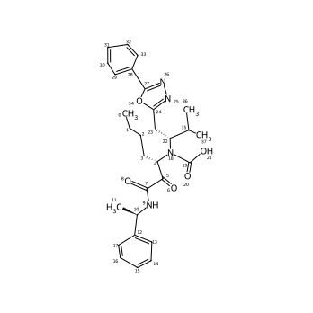 CCCC[C@@H](C(=O)C(=O)N[C@H](C)c1ccccc1)N(C(=O)O)[C@H](Cc1nnc(-c2ccccc2)o1)C(C)C